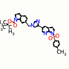 Cc1ccc(S(=O)(=O)n2ccc3cc(-c4cn(Cc5ccc6ccn(C(=O)OC(C)(C)C)c6c5)cn4)cnc32)cc1